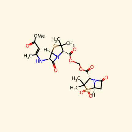 COC(=O)C=C(C)N[C@@H]1C(=O)N2[C@@H]1SC(C)(C)[C@@H]2C(=O)OCOC(=O)[C@@H]1N2C(=O)C[C@H]2S(=O)(=O)C1(C)C